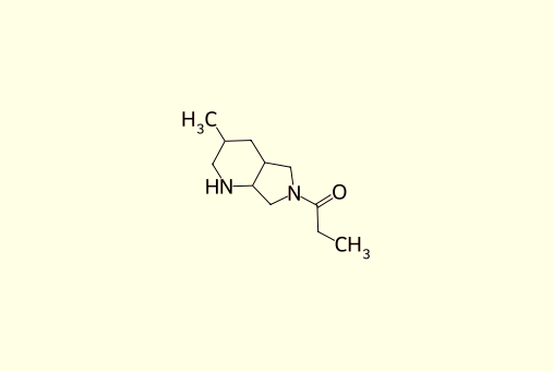 CCC(=O)N1CC2CC(C)CNC2C1